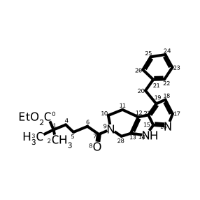 CCOC(=O)C(C)(C)CCCC(=O)N1CCc2c([nH]c3nccc(Cc4ccccc4)c23)C1